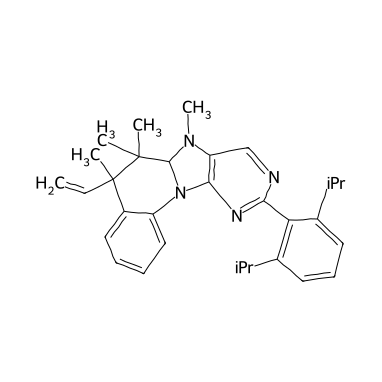 C=CC1(C)c2ccccc2N2c3nc(-c4c(C(C)C)cccc4C(C)C)ncc3N(C)C2C1(C)C